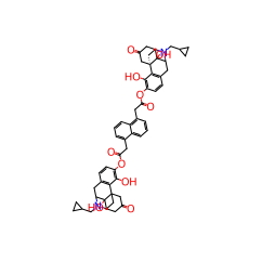 O=C1CCC2(O)C3Cc4ccc(OC(=O)Cc5cccc6c(CC(=O)Oc7ccc8c(c7O)[C@]79CCN(CC%10CC%10)C(C8)C7(O)CCC(=O)C9)cccc56)c(O)c4C2(CCN3CC2CC2)C1